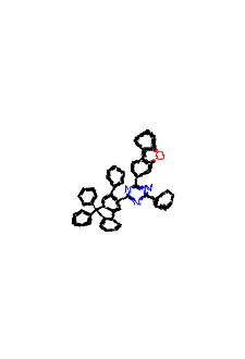 c1ccc(-c2nc(-c3ccc4c(c3)oc3ccccc34)nc(-c3cc4c(cc3-c3ccccc3)C(c3ccccc3)(c3ccccc3)c3ccccc3-4)n2)cc1